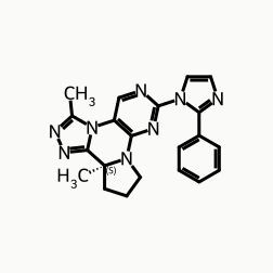 Cc1nnc2n1-c1cnc(-n3ccnc3-c3ccccc3)nc1N1CCC[C@@]21C